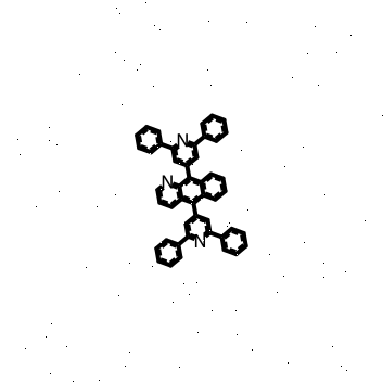 c1ccc(-c2cc(-c3c4ccccc4c(-c4cc(-c5ccccc5)nc(-c5ccccc5)c4)c4ncccc34)cc(-c3ccccc3)n2)cc1